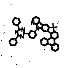 CC1(C)c2cc3c4cccnc4n(-c4cccc(-c5nc(-c6ccccc6)nc(-c6ccccc6)n5)c4)c3cc2-c2c1ccc1c3ccccc3c3ccccc3c21